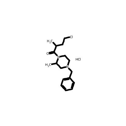 CC(CCCl)C(=O)N1CCN(Cc2ccccc2)CC1C.Cl